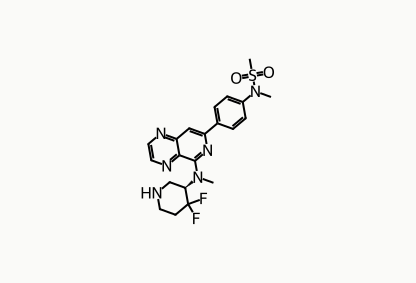 CN(c1nc(-c2ccc(N(C)S(C)(=O)=O)cc2)cc2nccnc12)[C@@H]1CNCCC1(F)F